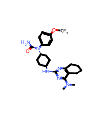 CN(C)c1nc(N[C@H]2CC[C@@H](N(C(N)=O)c3ccc(OC(F)(F)F)cc3)CC2)nc2c1CCCC2